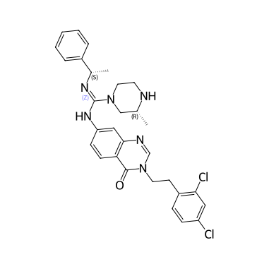 C[C@@H]1CN(/C(=N\[C@@H](C)c2ccccc2)Nc2ccc3c(=O)n(CCc4ccc(Cl)cc4Cl)cnc3c2)CCN1